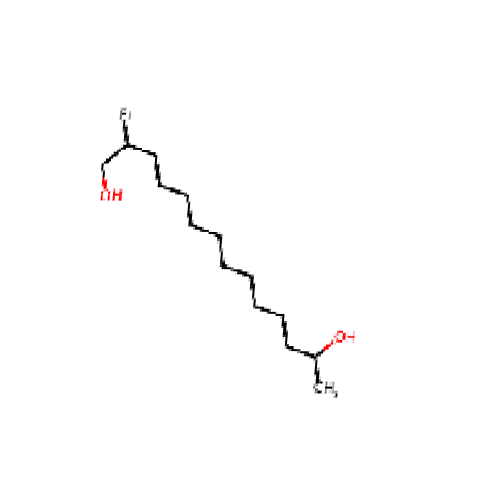 CCC(CO)CCCCCCCCCCC(C)O